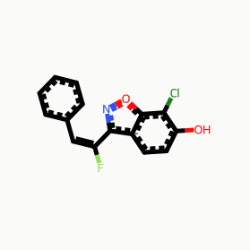 Oc1ccc2c(/C(F)=C\c3ccccc3)noc2c1Cl